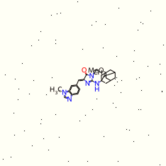 COC12CC3CC(CC(NC4=N/C(=C\c5ccc6ncn(C)c6c5)C(=O)N4C)(C3)C1)C2